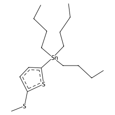 CCC[CH2][Sn]([CH2]CCC)([CH2]CCC)[c]1ccc(SC)s1